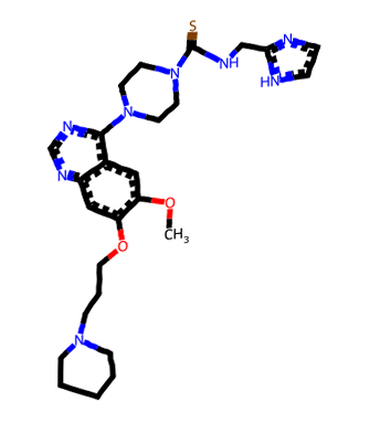 COc1cc2c(N3CCN(C(=S)NCc4ncc[nH]4)CC3)ncnc2cc1OCCCN1CCCCC1